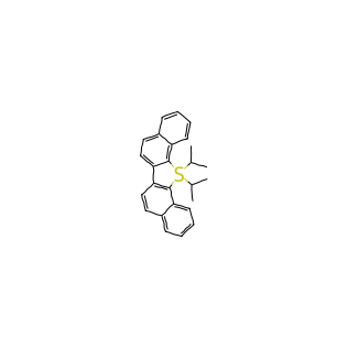 CC(C)S1(C(C)C)c2c(ccc3ccccc23)-c2ccc3ccccc3c21